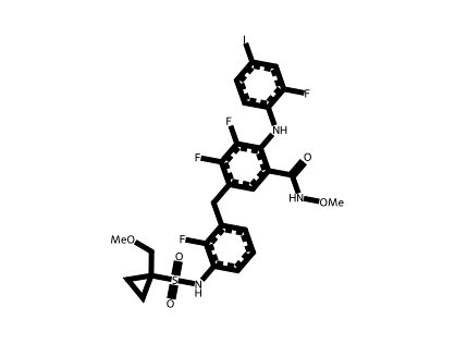 COCC1(S(=O)(=O)Nc2cccc(Cc3cc(C(=O)NOC)c(Nc4ccc(I)cc4F)c(F)c3F)c2F)CC1